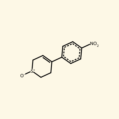 O=[N+]([O-])c1ccc(C2=CC[S+]([O-])CC2)cc1